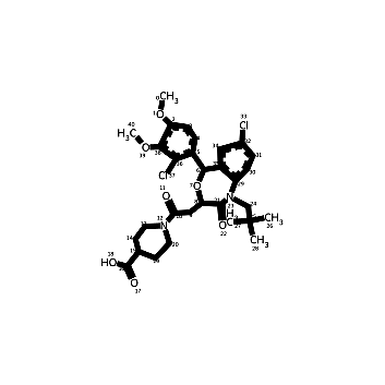 COc1ccc(C2OC(CC(=O)N3CCC(C(=O)O)CC3)C(=O)N(CC(C)(C)C)c3ccc(Cl)cc32)c(Cl)c1OC